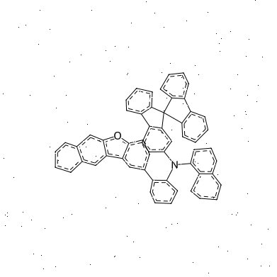 c1ccc(N(c2ccc3c(c2)C2(c4ccccc4-c4ccccc42)c2ccccc2-3)c2cccc3ccccc23)c(-c2ccc3oc4cc5ccccc5cc4c3c2)c1